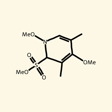 COC1=C(C)C(S(=O)(=O)OC)N(OC)C=C1C